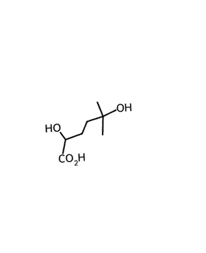 CC(C)(O)CCC(O)C(=O)O